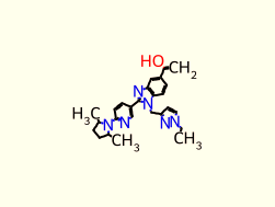 C=C(O)c1ccc2c(c1)nc(-c1ccc(N3C(C)CCC3C)nc1)n2Cc1ccn(CC)n1